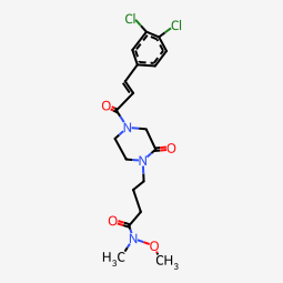 CON(C)C(=O)CCCN1CCN(C(=O)/C=C/c2ccc(Cl)c(Cl)c2)CC1=O